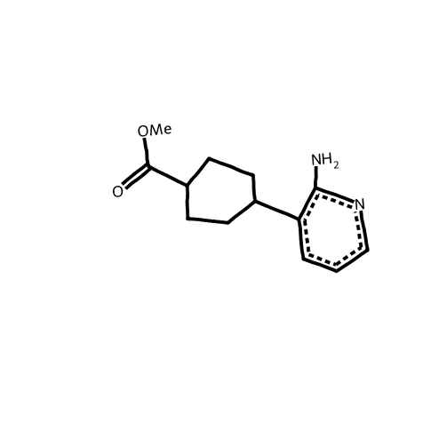 COC(=O)C1CCC(c2cccnc2N)CC1